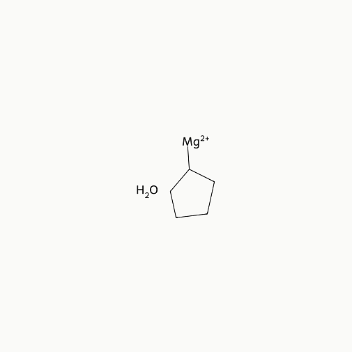 O.[Mg+2][CH]1CCCC1